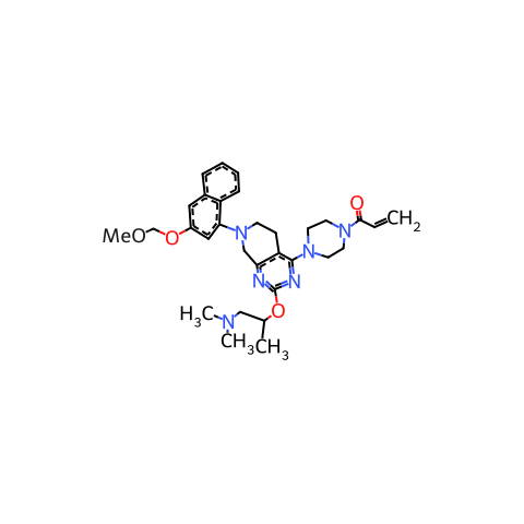 C=CC(=O)N1CCN(c2nc(OC(C)CN(C)C)nc3c2CCN(c2cc(OCOC)cc4ccccc24)C3)CC1